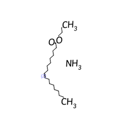 CCCCCCCC/C=C\CCCCCCCC(=O)OCCCC.N